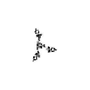 Cc1ccc(S(=O)(=O)OCCOc2nc(OCCOS(=O)(=O)c3ccc(C)cc3)nc(OCCOS(=O)(=O)c3ccc(C)cc3)n2)cc1